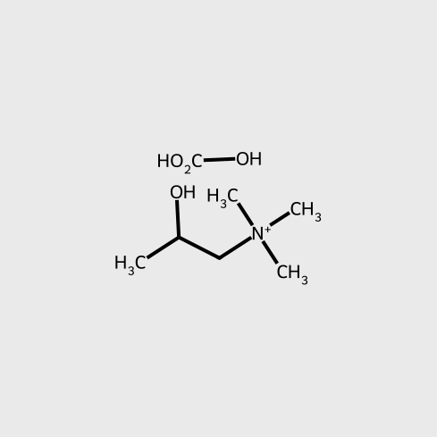 CC(O)C[N+](C)(C)C.O=C(O)O